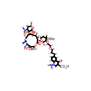 CC[C@H]1OC(=O)[C@H](C)[C@@H](O[C@H]2C[C@@](C)(OC)[C@@H](OCCOCCCc3ccc4c(c3)c(=O)c(C(=O)O)cn4N(C)C)[C@H](C)O2)[C@H](C)[C@@H](O[C@@H]2O[C@H](C)C[C@H](N(C)C)[C@H]2O)[C@](C)(O)C[C@@H](C)CN(C)[C@H](C)[C@@H](O)[C@]1(C)O